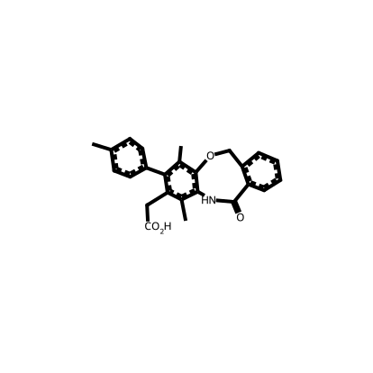 Cc1ccc(-c2c(C)c3c(c(C)c2CC(=O)O)NC(=O)c2ccccc2CO3)cc1